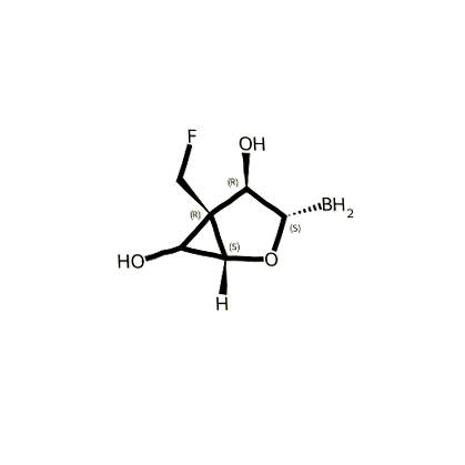 B[C@@H]1O[C@@H]2C(O)[C@]2(CF)[C@H]1O